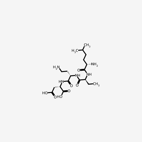 CC[C@H](NC(=O)[C@@H](N)CCC(C)C)C(=O)N[C@@H](CCN)C(=O)N[C@@H](CC(=O)O)C(=O)O